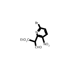 CCOC(=O)C(C=O)c1nc(Br)ccc1[N+](=O)[O-]